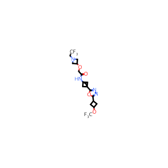 O=C(COC1CN(CC(F)(F)F)C1)NC12CC(c3nnc(C4CC(OC(F)(F)F)C4)o3)(C1)C2